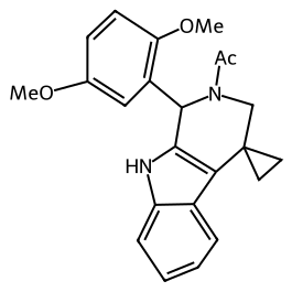 COc1ccc(OC)c(C2c3[nH]c4ccccc4c3C3(CC3)CN2C(C)=O)c1